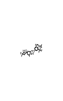 CC(C)n1cnc2cc(OC[C@@H]3C[C@](O)(C4CC(F)(F)C4)C[C@H](C)N3)cc(C(F)(F)F)c21